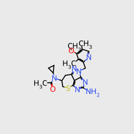 COc1c(C)cnc(Cn2nc3c4c(nc(N)nc42)SCC(N(C(C)=O)C2CC2)C3)c1C